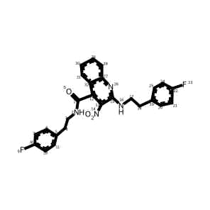 O=C(NCCc1ccc(F)cc1)c1c([N+](=O)[O-])c(NCCc2ccc(F)cc2)nc2ccccc12